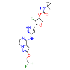 CC1(NC(=O)O[C@@H]2CO[C@H](c3cc(Nc4nccn5nc(OCC(F)F)cc45)n[nH]3)[C@H]2F)CC1